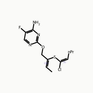 C/C=C(/COc1ncc(F)c(N)n1)S/C(Cl)=C\CCC